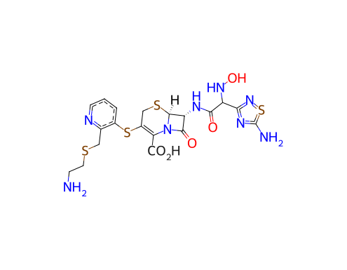 NCCSCc1ncccc1SC1=C(C(=O)O)N2C(=O)[C@@H](NC(=O)C(NO)c3nsc(N)n3)[C@@H]2SC1